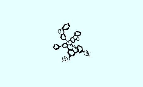 CC(C)(C)c1ccc2c(c1)c1cc(C(C)(C)C)cc3c1n2B1c2cc4oc5ccccc5c4cc2N(c2ccc4oc5ccccc5c4c2)c2cc(-c4ccccc4)cc-3c21